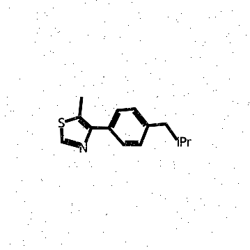 Cc1scnc1-c1ccc(CC(C)C)cc1